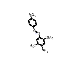 COc1cc(N)c(C)cc1/N=N/c1ccc([N+](=O)[O-])cc1